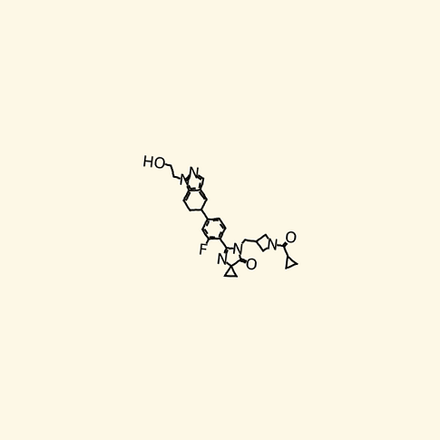 O=C(C1CC1)N1CC(CN2C(=O)C3(CC3)N=C2c2ccc(C3C=c4cnn(CCO)c4=CC3)cc2F)C1